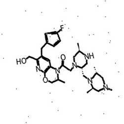 CC1COc2nc(CO)c(Cc3ccc(F)cc3)cc2N1C(=O)CN1C[C@@H](C)NC[C@@H]1CN1[C@H](C)CN(C)C[C@H]1C